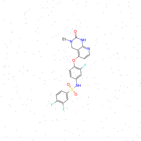 CCN1Cc2c(Oc3ccc(NS(=O)(=O)c4ccc(F)c(F)c4)cc3F)ccnc2NC1=O